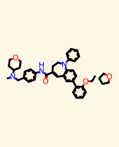 C1CCOC1.CCOc1ccccc1-c1ccc2c(c1)C=C(C(=O)Nc1ccc(CN(C)C3CCOCC3)cc1)CCN2c1ccccc1